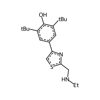 CCNCc1nc(-c2cc(C(C)(C)C)c(O)c(C(C)(C)C)c2)cs1